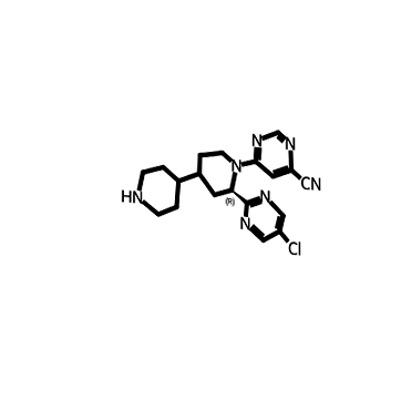 N#Cc1cc(N2CCC(C3CCNCC3)C[C@@H]2c2ncc(Cl)cn2)ncn1